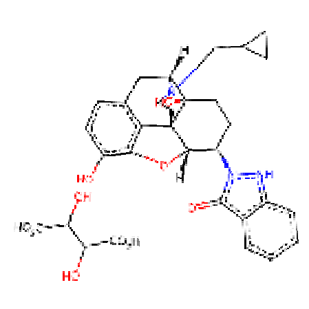 O=C(O)C(O)C(O)C(=O)O.O=c1c2ccccc2[nH]n1[C@@H]1CC[C@@]2(O)[C@H]3Cc4ccc(O)c5c4[C@@]2(CCN3CC2CC2)[C@H]1O5